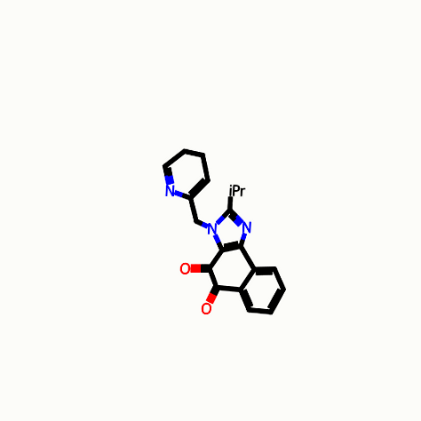 CC(C)c1nc2c(n1CC1=CCCC=N1)C(=O)C(=O)c1ccccc1-2